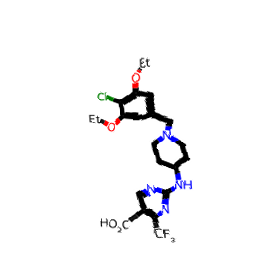 CCOc1cc(CN2CCC(Nc3ncc(C(=O)O)c(C(F)(F)F)n3)CC2)cc(OCC)c1Cl